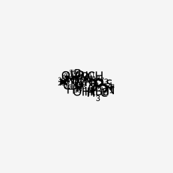 Cc1ncsc1-c1ccc([C@H](C)NC(=O)[C@@H]2C[C@@H](O)CN2C(=O)[C@@H](NC(=O)C2(C#N)CC2)C(C)(C)C)c(OC(C)(C)C)c1